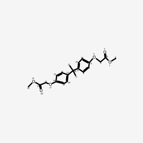 COC(=O)COc1ccc(C(C)(C)c2ccc(OCC(=O)OC)cc2)cc1